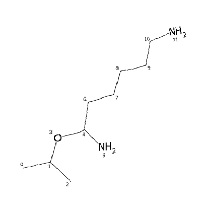 CC(C)OC(N)CCCCCN